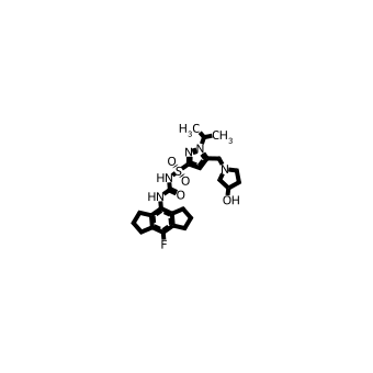 CC(C)n1nc(S(=O)(=O)NC(=O)Nc2c3c(c(F)c4c2CCC4)CCC3)cc1CN1CCC(O)C1